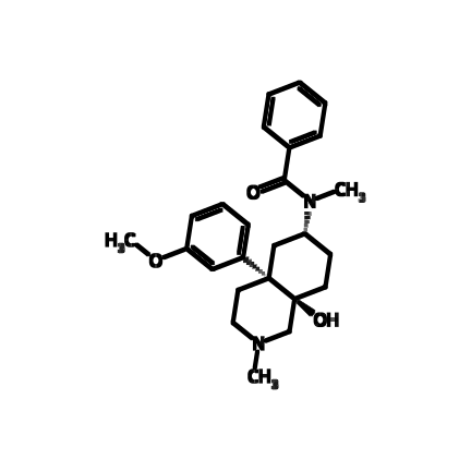 COc1cccc([C@@]23CCN(C)C[C@@]2(O)CC[C@@H](N(C)C(=O)c2ccccc2)C3)c1